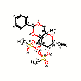 CO[C@H]1O[C@@H]2COC(c3ccccc3)O[C@H]2[C@H](OS(C)(=O)=O)[C@H]1OS(C)(=O)=O